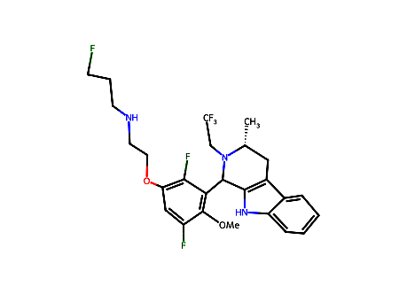 COc1c(F)cc(OCCNCCCF)c(F)c1C1c2[nH]c3ccccc3c2C[C@@H](C)N1CC(F)(F)F